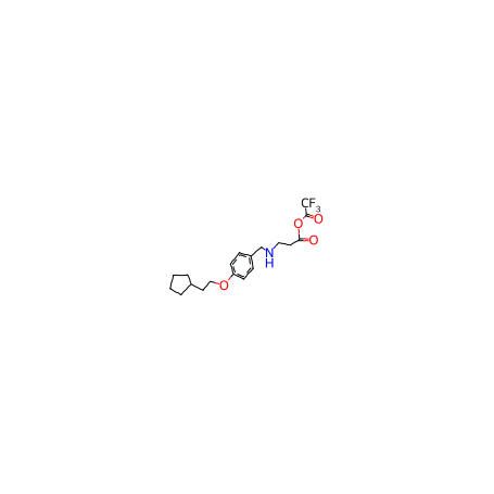 O=C(CCNCc1ccc(OCCC2CCCC2)cc1)OC(=O)C(F)(F)F